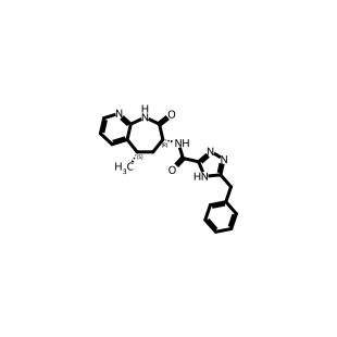 C[C@H]1C[C@@H](NC(=O)c2nnc(Cc3ccccc3)[nH]2)C(=O)Nc2ncccc21